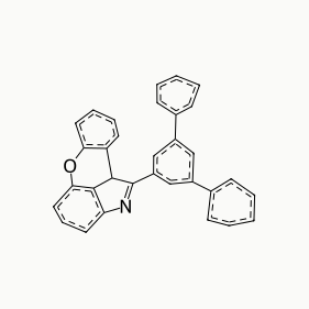 c1ccc(-c2cc(C3=Nc4cccc5c4C3c3ccccc3O5)cc(-c3ccccc3)c2)cc1